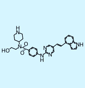 O=S(=O)(c1ccc(Nc2ncc(/C=C/c3cccc4[nH]ccc34)cn2)cc1)N(CCO)C1CCNCC1